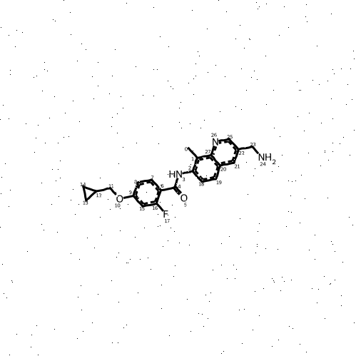 Cc1c(NC(=O)c2ccc(OCC3CC3)cc2F)ccc2cc(CN)cnc12